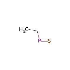 CCP=S